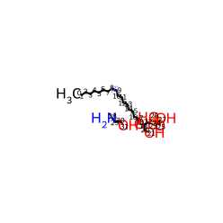 CCCCCCCC/C=C\CCCCCCCCOC(CO)COP(=O)(O)O.NCCO